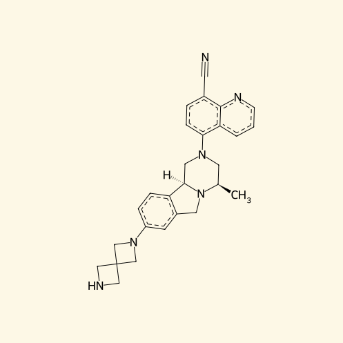 C[C@@H]1CN(c2ccc(C#N)c3ncccc23)C[C@@H]2c3ccc(N4CC5(CNC5)C4)cc3CN12